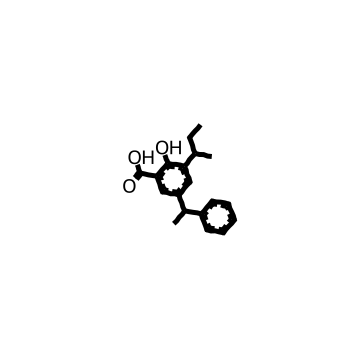 CCC(C)c1cc(C(C)c2ccccc2)cc(C(=O)O)c1O